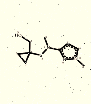 CN(SC1(CO)CC1)c1ccn(C)n1